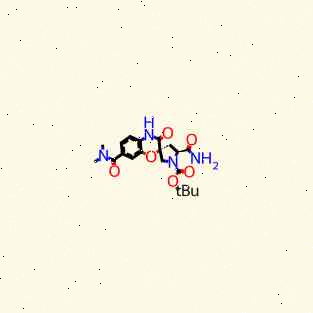 CN(C)C(=O)c1ccc2c(c1)O[C@@]1(C[C@@H](C(N)=O)N(C(=O)OC(C)(C)C)C1)C(=O)N2